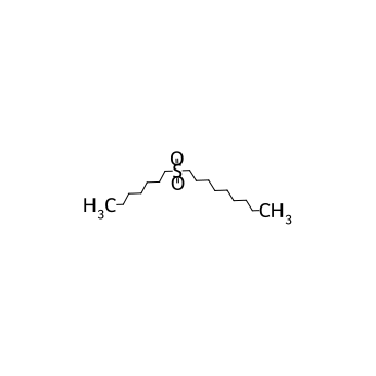 CCCCCCCCCS(=O)(=O)CCCCCCC